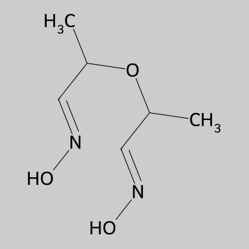 CC(C=NO)OC(C)C=NO